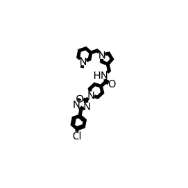 CN1CCCC(CN2CCC(CNC(=O)C3CCN(c4nc(-c5ccc(Cl)cc5)no4)CC3)C2)C1